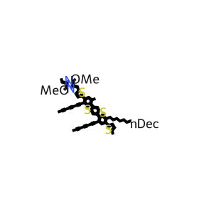 CC#CC#CC#Cc1c(-c2ccc(/C=c3\nc(OC)/c(=C/C)nc3OC)s2)cc(C)c2c1sc1cc3c(cc12)sc1c(CCCCCCCCCCCCCCCCC)c(-c2ccc(C)s2)cc(C#CC#CC#CC)c13